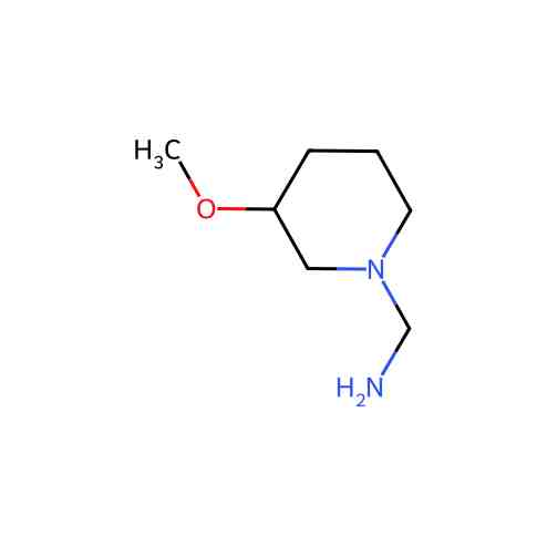 COC1CCCN(CN)C1